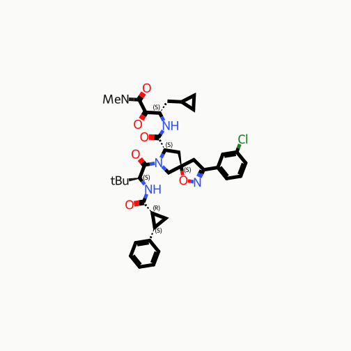 CNC(=O)C(=O)[C@H](CC1CC1)NC(=O)[C@@H]1C[C@]2(CC(c3cccc(Cl)c3)=NO2)CN1C(=O)[C@@H](NC(=O)[C@@H]1C[C@@H]1c1ccccc1)C(C)(C)C